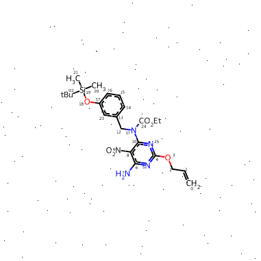 C=CCOc1nc(N)c([N+](=O)[O-])c(N(Cc2cccc(O[Si](C)(C)C(C)(C)C)c2)C(=O)OCC)n1